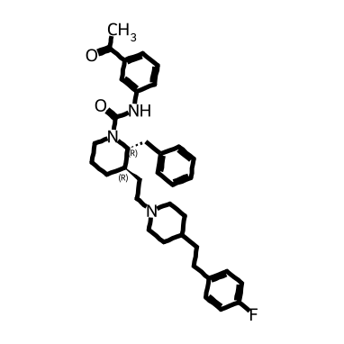 CC(=O)c1cccc(NC(=O)N2CCC[C@H](CCN3CCC(CCc4ccc(F)cc4)CC3)[C@H]2Cc2ccccc2)c1